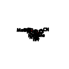 CCCN(c1nnc(-c2cccc(OC)n2)n1-c1c(OC)cccc1OC)S(=O)(=O)[C@H](C)[C@@H](O)c1ccc(C#N)cc1